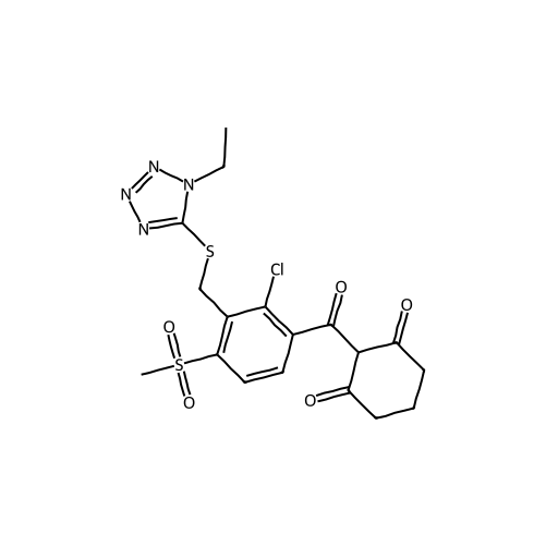 CCn1nnnc1SCc1c(S(C)(=O)=O)ccc(C(=O)C2C(=O)CCCC2=O)c1Cl